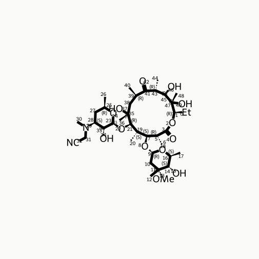 CC[C@H]1OC(=O)[C@H](C)[C@@H](O[C@H]2C[C@@](C)(OC)[C@@H](O)[C@H](C)O2)[C@H](C)[C@@H](O[C@@H]2O[C@H](C)C[C@H](N(C)CC#N)[C@H]2O)[C@](C)(O)C[C@@H](C)C(=O)[C@H](C)[C@@H](O)[C@]1(C)O